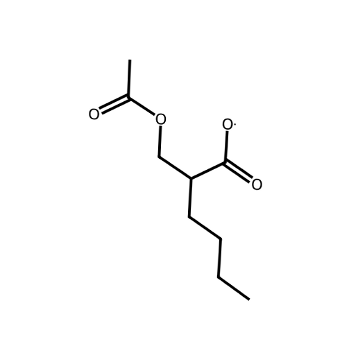 CCCCC(COC(C)=O)C([O])=O